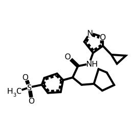 CS(=O)(=O)c1ccc(C(CC2CCCC2)C(=O)Nc2cnoc2C2CC2)cc1